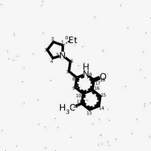 CC[C@H]1CCCN1CCc1cc2c(C)cccc2c(=O)[nH]1